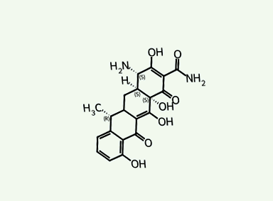 C[C@H]1c2cccc(O)c2C(=O)C2=C(O)[C@]3(O)C(=O)C(C(N)=O)=C(O)[C@@H](N)[C@@H]3CC21